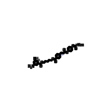 CCCCCCC(=O)Oc1ccc(OC(=O)/C=C/c2ccc(C(=O)OCCCCCOC(=O)c3cc(N)cc(N)c3)cc2)cc1